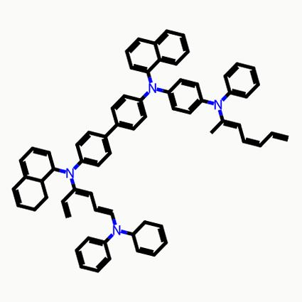 C=C/C=C\C=C(/C)N(c1ccccc1)c1ccc(N(c2ccc(-c3ccc(N(/C(C=C)=C/C=C/N(c4ccccc4)C4C=CC=CC4)C4C=CC=C5C=CCCC54)cc3)cc2)c2cccc3ccccc23)cc1